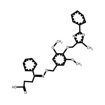 COc1cc(CON=C(CCC(=O)O)c2ccccc2)cc(OC)c1OCc1nc(-c2ccccc2)oc1C